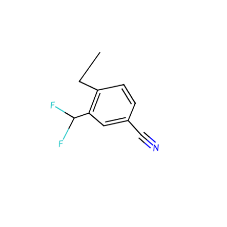 CCc1ccc(C#N)cc1C(F)F